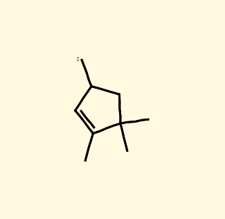 [CH]C1C=C(C)C(C)(C)C1